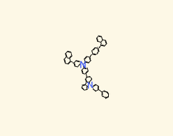 C1=CC2C=CC=C(c3ccc(-c4ccc(N(c5ccc(-c6ccc7c(c6)c6ccccc6n7-c6ccc(-c7ccccc7)cc6)cc5)c5ccc(-c6cccc7ccccc67)cc5)cc4)cc3)C2C=C1